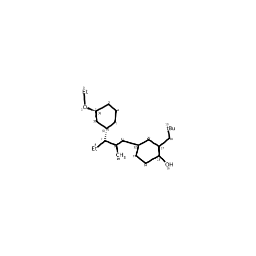 CCO[C@H]1CCC[C@H](C(CC)C(C)CC2CCC(O)C(CC(C)(C)C)C2)C1